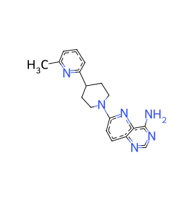 Cc1cccc(C2CCN(c3ccc4ncnc(N)c4n3)CC2)n1